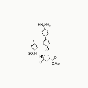 COC(=O)[C@@H]1CC(=O)N[C@H](COc2ccc(-c3ccc(C(=N)N)cc3)cc2)C1.Cc1ccc(S(=O)(=O)O)cc1